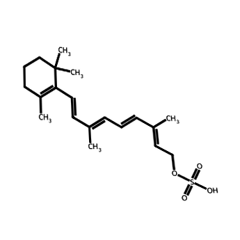 CC(C=CC1=C(C)CCCC1(C)C)=CC=CC(C)=CCOS(=O)(=O)O